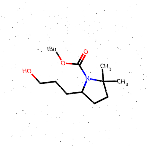 CC(C)(C)OC(=O)N1C(CCCO)CCC1(C)C